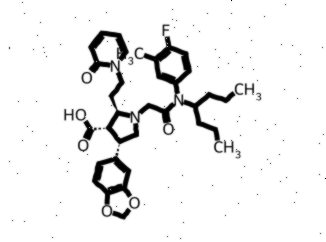 CCCC(CCC)N(C(=O)CN1C[C@H](c2ccc3c(c2)OCO3)[C@H](C(=O)O)[C@H]1CCn1ccccc1=O)c1ccc(F)c(C)c1